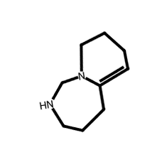 C1=C2CCCNCN2CCC1